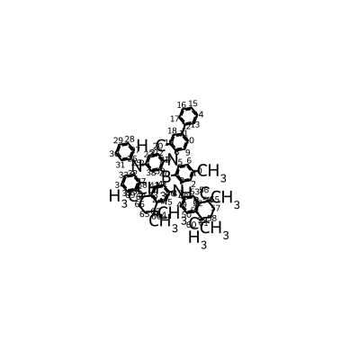 Cc1cc2c3c(c1)N(c1ccc(-c4ccccc4)cc1C)c1ccc(N(c4ccccc4)c4ccccc4)cc1B3c1cc3c(cc1N2c1ccc2c(c1)C(C)(C)CCC2(C)C)C(C)(C)CCC3(C)C